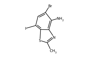 Cc1nc2c(N)c(Br)cc(I)c2s1